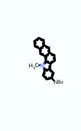 CCCCc1ccc2c(c1)c1ccc3cc4ccccc4cc3c1n2C